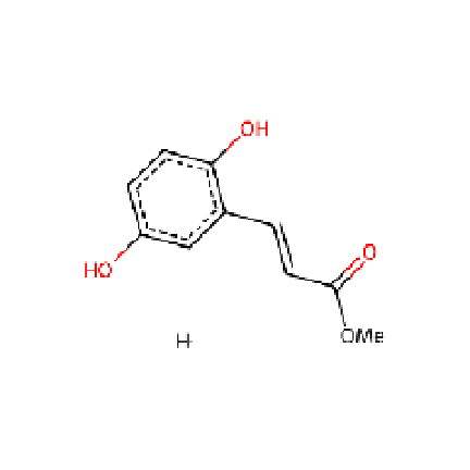 COC(=O)C=Cc1cc(O)ccc1O.[H]